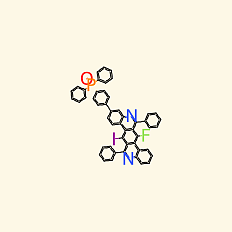 O=P(c1ccccc1)(c1ccccc1)c1ccc(-c2ccc3c(c2)nc(-c2ccccc2)c2c(F)c4c(c(-c5ccccc5)nc5ccccc54)c(I)c23)cc1